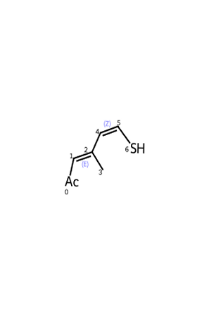 CC(=O)/C=C(C)/C=C\S